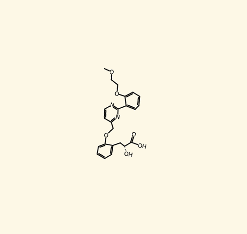 COCCOc1ccccc1-c1nccc(COc2ccccc2C[C@@H](O)C(=O)O)n1